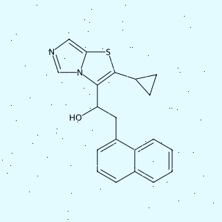 OC(Cc1cccc2ccccc12)c1c(C2CC2)sc2cncn12